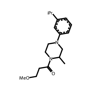 COCCC(=O)N1CCN(c2cc[c]c(C(C)C)c2)CC1C